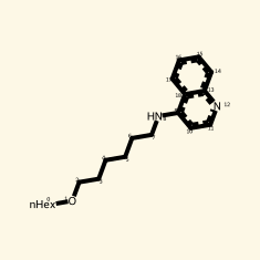 CCCCCCOCCCCCCNc1ccnc2ccccc12